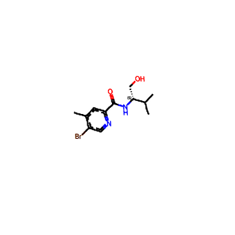 Cc1cc(C(=O)N[C@H](CO)C(C)C)ncc1Br